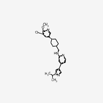 COc1ncc(C2CCC(CNc3cc(-c4cnn(C(C)C)c4)ccn3)CC2)cc1Cl